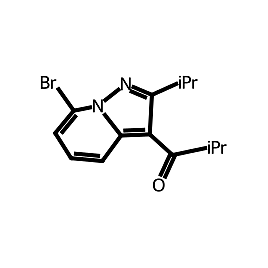 CC(C)C(=O)c1c(C(C)C)nn2c(Br)cccc12